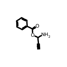 C#CC(N)OC(=O)c1ccccc1